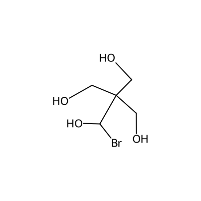 OCC(CO)(CO)C(O)Br